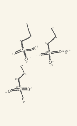 CCCS(=O)(=O)[O-].CCCS(=O)(=O)[O-].CCCS(=O)(=O)[O-].[Au+3]